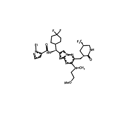 CCn1nccc1C(=O)N[C@H](c1cn2nc(C[C@H]3C[C@@H](C(F)(F)F)CNC3=O)c(N(C)CCOC)nc2n1)C1CCC(F)(F)CC1